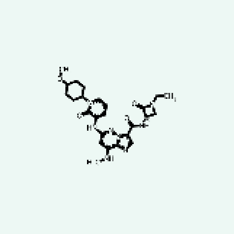 CCN1C[C@@H](NC(=O)c2cnc3c(NC)cc(Nc4cccn(C5CCC(OC)CC5)c4=O)nn23)C1=O